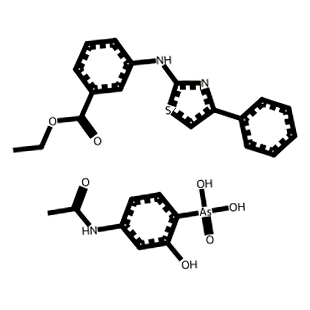 CC(=O)Nc1ccc([As](=O)(O)O)c(O)c1.CCOC(=O)c1cccc(Nc2nc(-c3ccccc3)cs2)c1